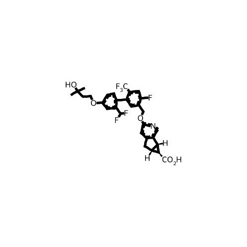 CC(C)(O)CCOc1ccc(-c2cc(COc3cc4c(cn3)[C@H]3[C@@H](C4)[C@@H]3C(=O)O)c(F)cc2C(F)(F)F)c(C(F)F)c1